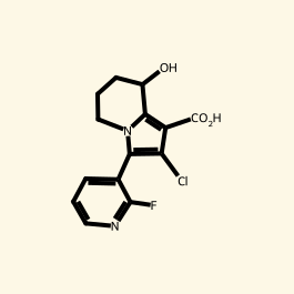 O=C(O)c1c(Cl)c(-c2cccnc2F)n2c1C(O)CCC2